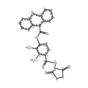 Cc1c(OC(=O)c2c3ccccc3nc3ccccc23)ccc(C(=O)ON2C(=O)CCC2=O)c1C